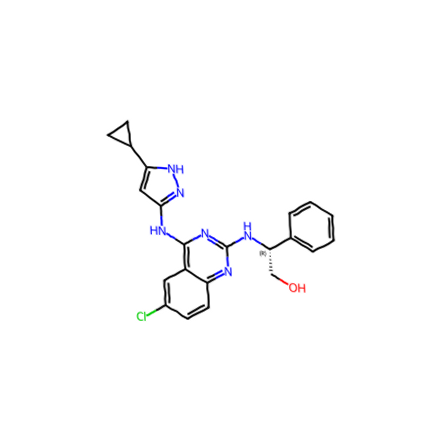 OC[C@H](Nc1nc(Nc2cc(C3CC3)[nH]n2)c2cc(Cl)ccc2n1)c1ccccc1